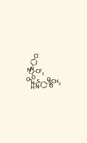 CS(=O)(=O)c1ccc2nc(NC(=O)Oc3cnn(-c4ccc(Cl)cc4)c3C(F)(F)F)sc2c1